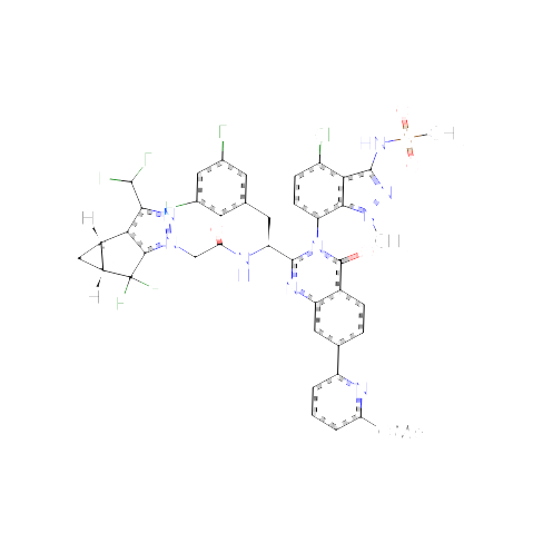 COc1cccc(-c2ccc3c(=O)n(-c4ccc(Cl)c5c(NS(C)(=O)=O)nn(C)c45)c([C@H](Cc4cc(F)cc(F)c4)NC(=O)Cn4nc(C(F)F)c5c4C(F)(F)[C@@H]4C[C@H]54)nc3c2)n1